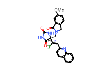 COc1ccc2c(c1)C(=O)N(C[C@@]1(/C(Cl)=C/c3ccc4ccccc4n3)NC(=O)NC1=O)C2